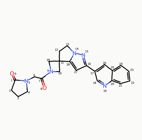 O=C1CCCN1CC(=O)N1CC2(CCn3nc(-c4cnc5ccccc5c4)cc32)C1